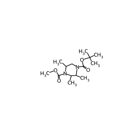 COC(=O)N1C(C)CN(C(=O)OC(C)(C)C)C(C)C1C